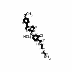 COc1ccc(-c2cnc3c(Nc4ccc(C(=O)NCCOCCN)c(Cl)c4)nccn23)cc1.Cl